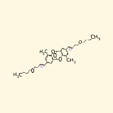 CCCCOCC/C=C/c1cc(C)c2c(c1)C1Oc3c(C)cc(/C=C/CCOCCCC)cc3C(O2)O1